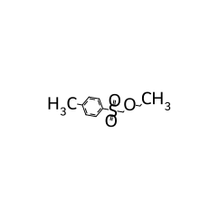 CCOCS(=O)(=O)c1ccc(C)cc1